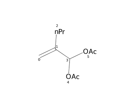 C=C(CCC)C(OC(C)=O)OC(C)=O